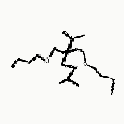 CCCCOCC(CCC(C)C)(COCCCC)C(C)C